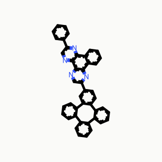 c1ccc(-c2cnc3c(n2)c2ccccc2c2nc(-c4ccc5c(c4)-c4ccccc4-c4ccccc4-c4ccccc4-5)cnc23)cc1